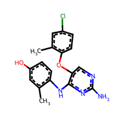 Cc1cc(O)ccc1Nc1nc(N)ncc1Oc1ccc(Cl)cc1C